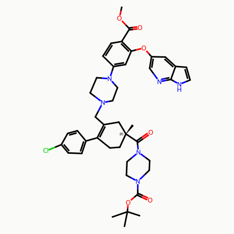 COC(=O)c1ccc(N2CCN(CC3=C(c4ccc(Cl)cc4)CC[C@@](C)(C(=O)N4CCN(C(=O)OC(C)(C)C)CC4)C3)CC2)cc1Oc1cnc2[nH]ccc2c1